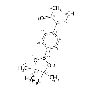 CC[C@@H](C(C)=O)c1ccc(B2OC(C)(C)C(C)(C)O2)cc1